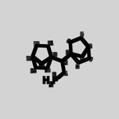 PCC(C12CCC(CC1)C2)C12CCC(CC1)C2